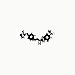 CN1CCS/C1=N\c1ccc(CCNc2nc3ccc([N+](=O)[O-])cc3s2)cc1